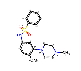 COc1ccc(NS(=O)(=O)c2ccccc2)cc1N1CCN(C)CC1